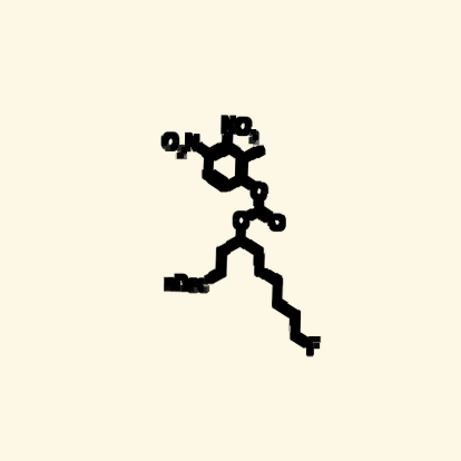 CCCCCCCCCCCCC(CCCCCCF)OC(=O)Oc1ccc([N+](=O)[O-])c([N+](=O)[O-])c1C